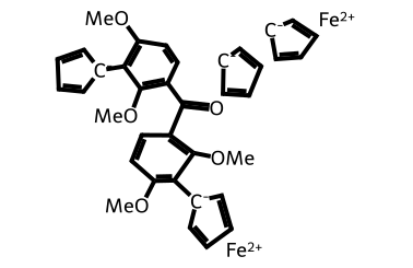 COc1ccc(C(=O)c2ccc(OC)c(-[c-]3cccc3)c2OC)c(OC)c1-[c-]1cccc1.[Fe+2].[Fe+2].c1cc[cH-]c1.c1cc[cH-]c1